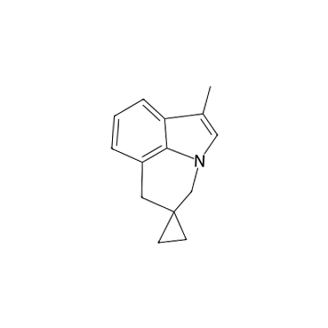 Cc1cn2c3c(cccc13)CC1(CC1)C2